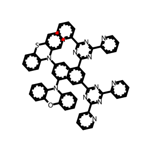 c1ccc(-c2nc(-c3cc(-c4nc(-c5ccccn5)nc(-c5ccccn5)n4)c4cc(N5c6ccccc6Sc6ccccc65)cc(N5c6ccccc6Oc6ccccc65)c4c3)nc(-c3ccccn3)n2)nc1